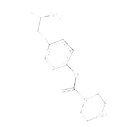 NC(Cc1ccc(OC(=O)N2CCNCC2)cc1)C(=O)O